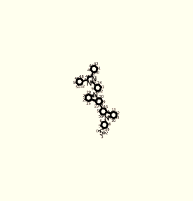 C[Si](C)(C)c1ccc(-n2c3ccccc3c3cc(-c4ccc5c(c4)c4ccccc4n5-c4cccc(-c5nc(-c6ccccc6)cc(-c6ccccc6)n5)c4)ccc32)cc1